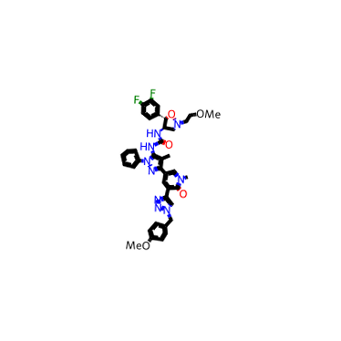 COCCN1C[C@@H](NC(=O)Nc2c(C)c(-c3cc(-c4cn(Cc5ccc(OC)cc5)nn4)c(=O)n(C)c3)nn2-c2ccccc2)[C@H](c2ccc(F)c(F)c2)O1